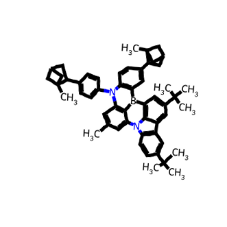 Cc1cc2c3c(c1)-n1c4ccc(C(C)(C)C)cc4c4cc(C(C)(C)C)cc(c41)B3c1cc(C3CC4CC3(C)C4)ccc1N2c1ccc(C2CC3CC2(C)C3)cc1